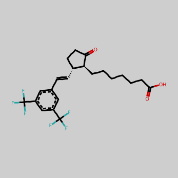 O=C(O)CCCCCC[C@@H]1C(=O)CC[C@H]1C=Cc1cc(C(F)(F)F)cc(C(F)(F)F)c1